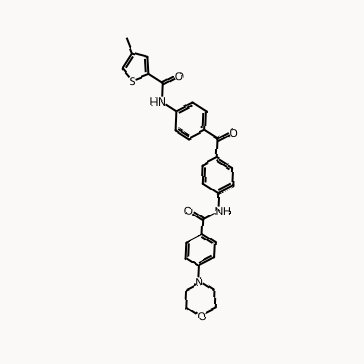 Cc1csc(C(=O)Nc2ccc(C(=O)c3ccc(NC(=O)c4ccc(N5CCOCC5)cc4)cc3)cc2)c1